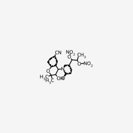 CC(O[N+](=O)[O-])C(O[N+](=O)[O-])c1ccc(=O)n(C2c3cc(C#N)ccc3OC(C)(C)C2O)c1